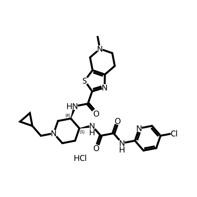 CN1CCc2nc(C(=O)N[C@@H]3CN(CC4CC4)CC[C@@H]3NC(=O)C(=O)Nc3ccc(Cl)cn3)sc2C1.Cl